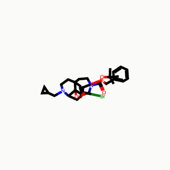 CC(C)(C)OC(=O)N1CCC23CCN(CC4CC4)C(Cc4cc(Br)c(OCc5ccccc5)cc42)C3(O)CC1